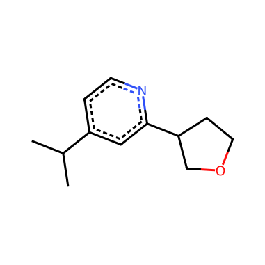 CC(C)c1ccnc(C2CCOC2)c1